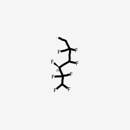 [CH2]CC(F)(F)C(F)[C@H](F)C(F)(F)C(F)F